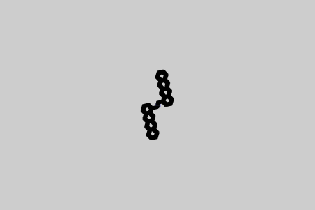 C(=C\c1cccc2cc3cc4ccccc4cc3cc12)/c1cccc2cc3cc4ccccc4cc3cc12